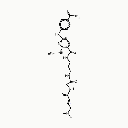 CCCNc1nc(Nc2ccc(C(N)=O)cc2)ncc1C(=O)NCCCNC(=O)CNC(=O)/C=C/CN(C)C